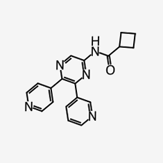 O=C(Nc1cnc(-c2ccncc2)c(-c2cccnc2)n1)C1CCC1